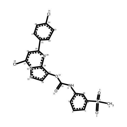 CS(=O)(=O)c1cccc(NC(=O)Oc2cnn3c(Cl)cc(-c4ccc(Cl)cc4)nc23)c1